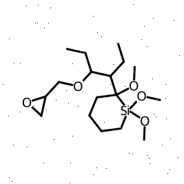 CCC(OCC1CO1)C(CC)C1(OC)CCCC[Si]1(OC)OC